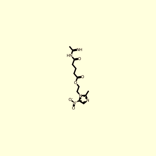 CC(=N)NC(=O)CCCC(=O)OCCn1c([N+](=O)[O-])cnc1C